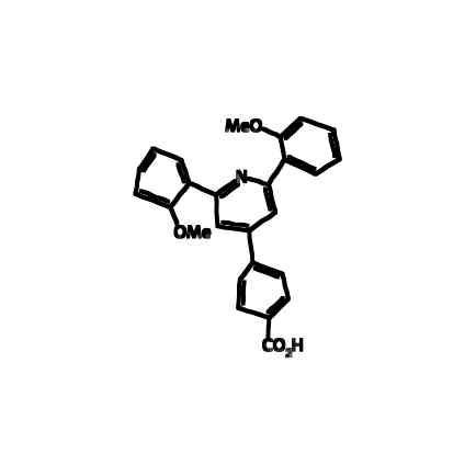 COc1ccccc1-c1cc(-c2ccc(C(=O)O)cc2)cc(-c2ccccc2OC)n1